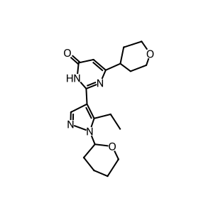 CCc1c(-c2nc(C3CCOCC3)cc(=O)[nH]2)cnn1C1CCCCO1